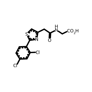 O=C(O)CNC(=O)Cc1csc(-c2ccc(Cl)cc2Cl)n1